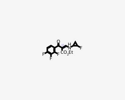 CCOC(=O)/C(=C\NC1CC1F)C(=O)c1ccc(F)c(F)c1F